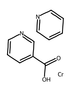 O=C(O)c1cccnc1.[Cr].c1ccncc1